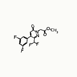 COC(=O)Cn1nc(C(F)F)c(-c2cc(F)cc(F)c2)cc1=O